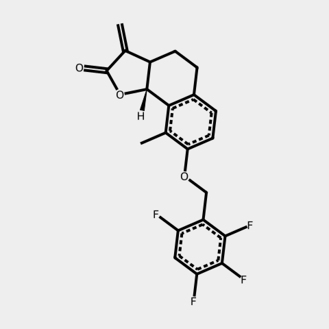 C=C1C(=O)O[C@H]2c3c(ccc(OCc4c(F)cc(F)c(F)c4F)c3C)CCC12